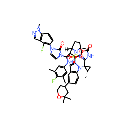 Cc1cc(-n2nc3c(c2-n2ccn(-c4ccc5c(cnn5C)c4F)c2=O)[C@@H]2CC[C@H](C3)N2S(=O)(=O)c2cc3cc(C4CCOC(C)(C)C4)ccc3n2[C@]2(c3noc(=O)[nH]3)C[C@@H]2C)cc(C)c1F